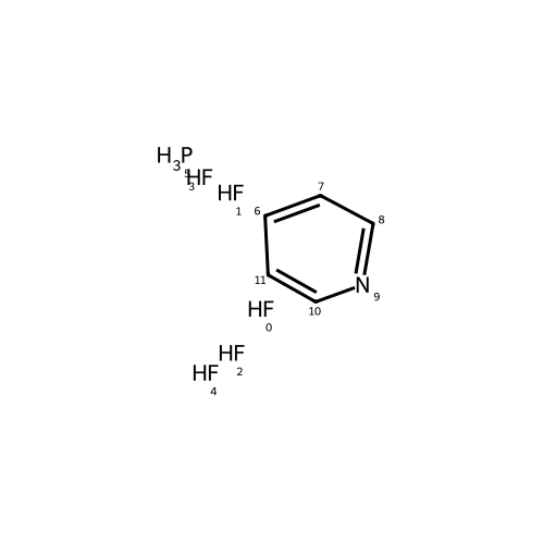 F.F.F.F.F.P.c1ccncc1